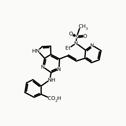 CCN(c1ncccc1C=Cc1nc(Nc2ccccc2C(=O)O)nc2[nH]ccc12)S(C)(=O)=O